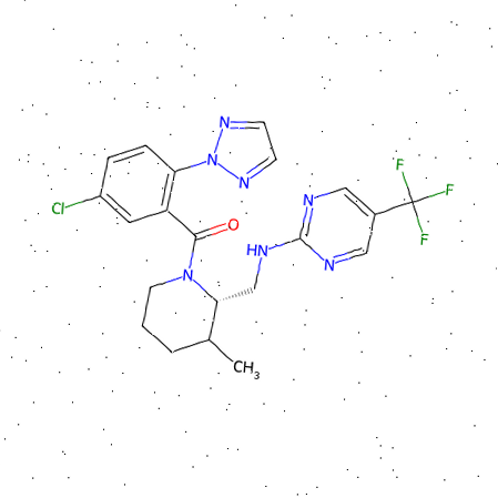 CC1CCCN(C(=O)c2cc(Cl)ccc2-n2nccn2)[C@@H]1CNc1ncc(C(F)(F)F)cn1